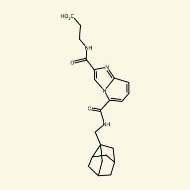 O=C(O)CCNC(=O)c1cn2c(C(=O)NCC34CC5CC(CC3C5)C4)cccc2n1